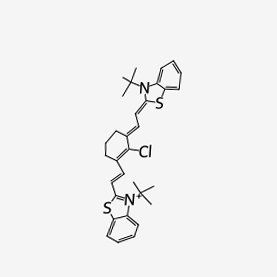 CC(C)(C)N1/C(=C/C=C2\CCCC(/C=C/c3sc4ccccc4[n+]3C(C)(C)C)=C2Cl)Sc2ccccc21